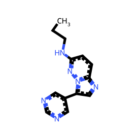 CCCNc1ccc2ncc(-c3cncnc3)n2n1